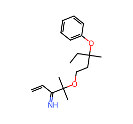 C=CC(=N)C(C)(C)OCCC(C)(CC)Oc1ccccc1